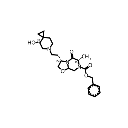 C[C@H]1C(=O)N2C(CN1C(=O)OCc1ccccc1)OC[C@@H]2CCN1CCC2(CC2)[C@H](O)C1